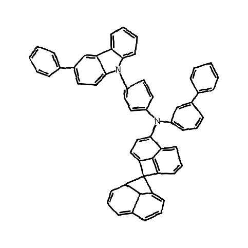 C1=CC2=CC=CC3C2C(=C1)C31c2cccc3c(N(c4ccc(-n5c6ccccc6c6cc(-c7ccccc7)ccc65)cc4)c4cccc(-c5ccccc5)c4)ccc1c23